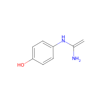 C=C(N)Nc1ccc(O)cc1